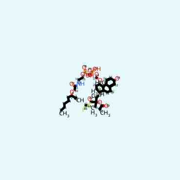 C#CC(CCCCCC)OCC(=O)NCCOP(=O)(O)OP(=O)(O)OCO[C@H]1CC[C@@H](C[C@@H](C)C(CC)(OC(=O)CC)C(=O)SCF)[C@@H]2C[C@H](F)C3=CC(=O)C=C[C@]3(C)[C@@]12F